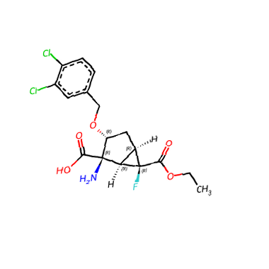 CCOC(=O)[C@@]1(F)[C@@H]2C[C@@H](OCc3ccc(Cl)c(Cl)c3)[C@@](N)(C(=O)O)[C@@H]21